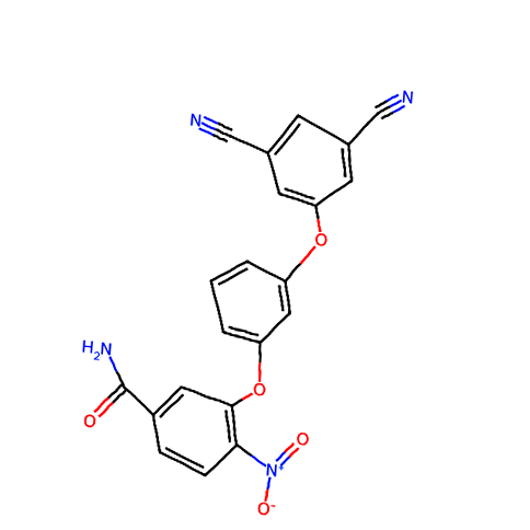 N#Cc1cc(C#N)cc(Oc2cccc(Oc3cc(C(N)=O)ccc3[N+](=O)[O-])c2)c1